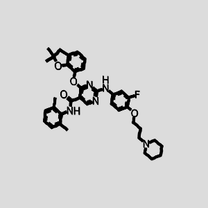 Cc1cccc(C)c1NC(=O)c1cnc(Nc2ccc(OCCCN3CCCCC3)c(F)c2)nc1Oc1cccc2c1OC(C)(C)C2